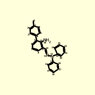 Cc1ccc(-c2cccc(C=NN(c3ccccc3)c3ccccc3)c2N)cc1